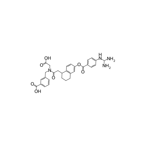 NC(N)Nc1ccc(C(=O)Oc2ccc3c(c2)CCCC3CC(=O)N(CC(=O)O)Cc2cccc(C(=O)O)c2)cc1